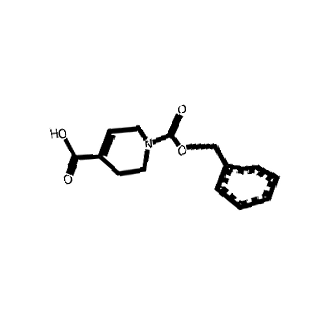 O=C(O)C1=CCN(C(=O)OCc2ccccc2)CC1